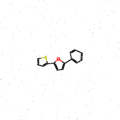 c1ccc(-c2ccc(-c3cccs3)o2)cc1